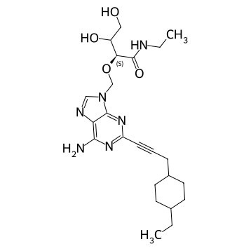 CCNC(=O)[C@@H](OCn1cnc2c(N)nc(C#CCC3CCC(CC)CC3)nc21)C(O)CO